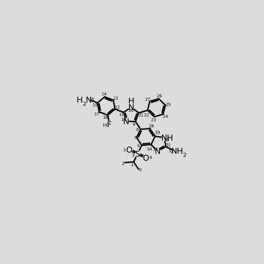 CC(C)S(=O)(=O)c1cc(-c2nc(-c3ccc(N)cc3F)[nH]c2-c2ccccc2)cc2[nH]c(N)nc12